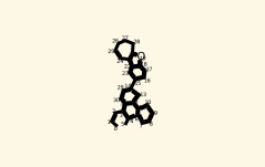 C/C=C\c1c(C)c2ccccc2c2cc(-c3ccc4oc5c(c4c3)C=CCCC5)ccc12